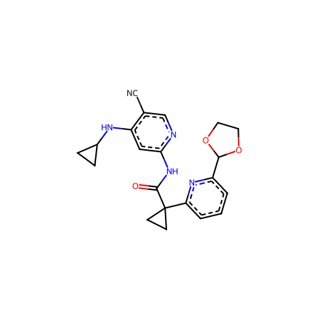 N#Cc1cnc(NC(=O)C2(c3cccc(C4OCCO4)n3)CC2)cc1NC1CC1